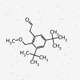 COCc1c(CC=O)cc(C(C)(C)C)cc1C(C)(C)C